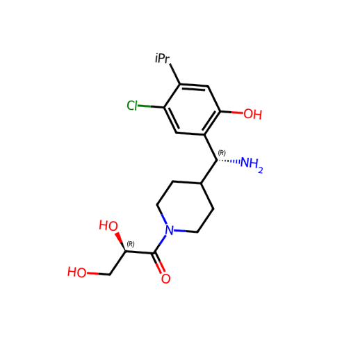 CC(C)c1cc(O)c([C@H](N)C2CCN(C(=O)[C@H](O)CO)CC2)cc1Cl